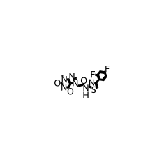 Cn1c(=O)c2c(ncn2CC(=O)Nc2nc(-c3ccc(F)cc3F)cs2)n(C)c1=O